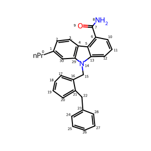 CCCc1c[c]c2c3c(C(N)=O)cccc3n(Cc3ccccc3Cc3ccccc3)c2c1